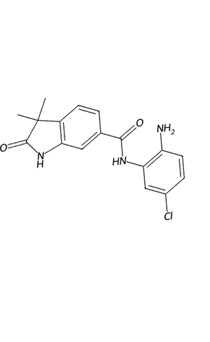 CC1(C)C(=O)Nc2cc(C(=O)Nc3cc(Cl)ccc3N)ccc21